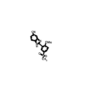 COc1ccc(S(C)(=O)=O)cc1-c1nc2cc(C#N)ccc2[nH]1